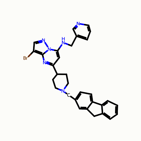 Brc1cnn2c(NCc3cccnc3)cc(C3CCN(Cc4ccc5c(c4)Cc4ccccc4-5)CC3)nc12